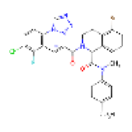 CN(C(=O)C1c2cccc(Br)c2CCN1C(=O)/C=C/c1c(-n2cnnn2)ccc(Cl)c1F)c1ccc(C(=O)O)cc1